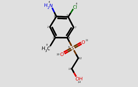 Cc1cc(N)c(Cl)cc1S(=O)(=O)CCO